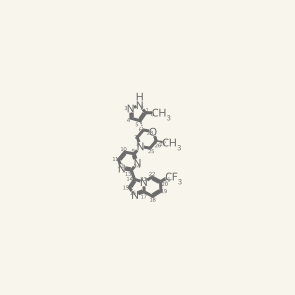 Cc1[nH]ncc1[C@H]1CN(c2ccnc(-c3cnc4ccc(C(F)(F)F)cn34)n2)C[C@H](C)O1